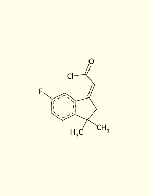 CC1(C)C/C(=C/C(=O)Cl)c2cc(F)ccc21